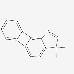 CC1(C)C=Nc2c1ccc1c2-c2ccccc2-1